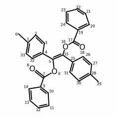 Cc1ccc(/C(OC(=O)c2ccccc2)=C(\OC(=O)c2ccccc2)c2ccc(C)cc2)cc1